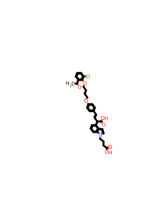 CC(=O)c1cccc(Cl)c1OCCCCOc1ccc(C=CC(C(=O)O)c2cccc3c2ccn3CCCC(=O)O)cc1